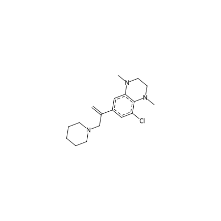 C=C(CN1CCCCC1)c1cc(Cl)c2c(c1)N(C)CCN2C